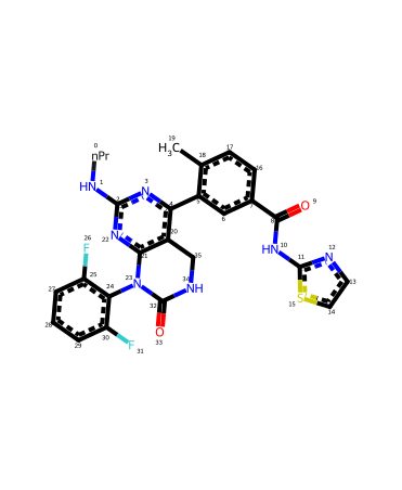 CCCNc1nc(-c2cc(C(=O)Nc3nccs3)ccc2C)c2c(n1)N(c1c(F)cccc1F)C(=O)NC2